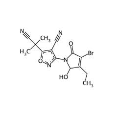 CCC1=C(Br)C(=O)N(c2noc(C(C)(C)C#N)c2C#N)C1O